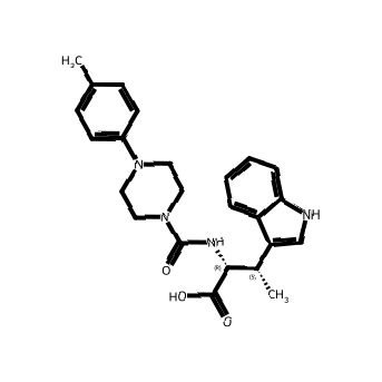 Cc1ccc(N2CCN(C(=O)N[C@@H](C(=O)O)[C@@H](C)c3c[nH]c4ccccc34)CC2)cc1